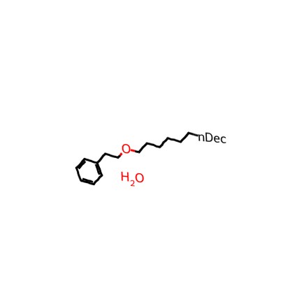 CCCCCCCCCCCCCCCCOCCc1ccccc1.O